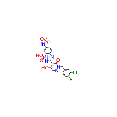 CS(=O)(=O)Nc1ccc2c(c1)P(=O)(O)N=C(c1c(O)cnn(Cc3ccc(F)c(Cl)c3)c1=O)N2